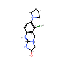 O=C1CN2Cc3c(ccc(N4CCCC4)c3Cl)N=C2N1